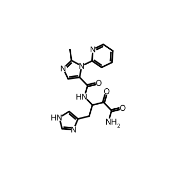 Cc1ncc(C(=O)NC(Cc2c[nH]cn2)C(=O)C(N)=O)n1-c1ccccn1